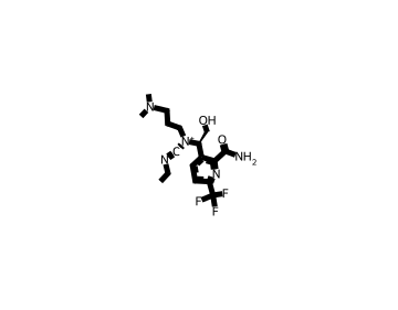 CCN=C=[N+](CCCN(C)C)[C@@H](CO)c1ccc(C(F)(F)F)nc1C(N)=O